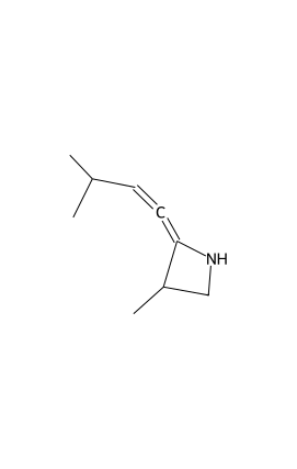 CC(C)C=C=C1NCC1C